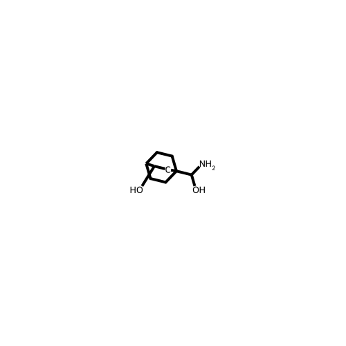 NC(O)C12CCC(CC1)C(O)C2